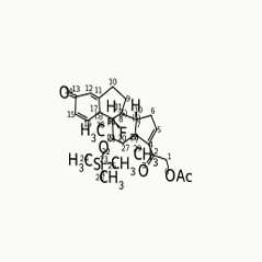 CC(=O)OCC(=O)C1=CC[C@H]2[C@@H]3CCC4=CC(=O)C=C[C@]4(C)[C@@]3(F)[C@@H](O[Si](C)(C)C)C[C@]12C